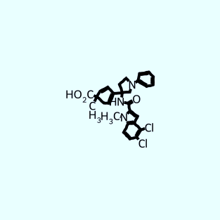 Cn1c(C(=O)NC2(C3=CCC(C)(C(=O)O)C=C3)CCN(c3ccccc3)C2)cc2c(Cl)c(Cl)ccc21